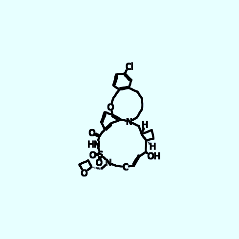 O=C1NS(=O)(=O)N(C[C@H]2CCO2)CC/C=C/C(O)[C@@H]2CC[C@H]2CN2CCCCc3cc(Cl)ccc3COc3ccc1cc32